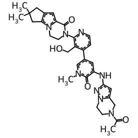 CC(=O)N1CCn2nc(Nc3cc(-c4ccnc(N5CCn6c(cc7c6CC(C)(C)C7)C5=O)c4CO)cn(C)c3=O)cc2C1